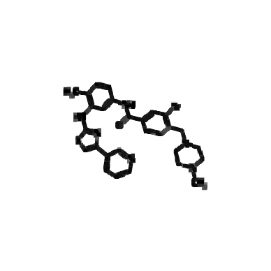 Cc1ccc(NC(=O)c2ccc(CN3CCN(C)CC3)c(Br)c2)cc1Nc1nc(-c2cccnc2)cs1